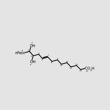 CCCCCC(O)C(O)CC=CCCCCCCCC(=O)O